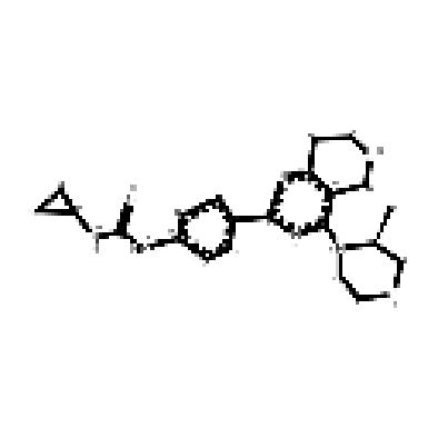 C[C@H]1COCCN1c1nc(-c2ccc(NC(=O)NC3CC3)cc2)nc2c1CSCC2